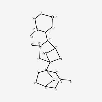 CN1CC2CCC(C34CC(O3)C(C3COCCN3C)N(C)C4)(C1)O2